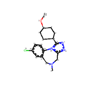 CCO[C@H]1CC[C@@H](c2nnc3n2-c2ccc(Cl)cc2CN(C)C3)CC1